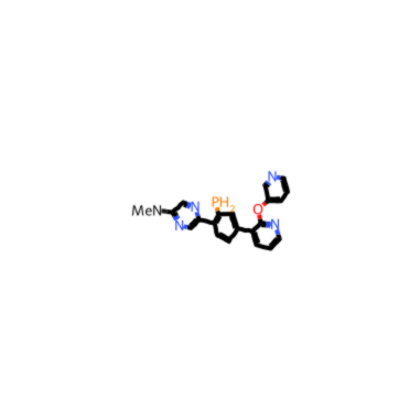 CNc1cnc(-c2ccc(-c3cccnc3Oc3cccnc3)cc2P)cn1